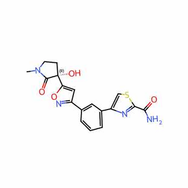 CN1CC[C@@](O)(c2cc(-c3cccc(-c4csc(C(N)=O)n4)c3)no2)C1=O